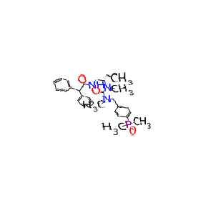 CC[C@@H](CNC(=O)C(c1ccccc1)c1ccccc1)N(C)C(=O)N(C)Cc1ccc(P(C)(C)=O)cc1